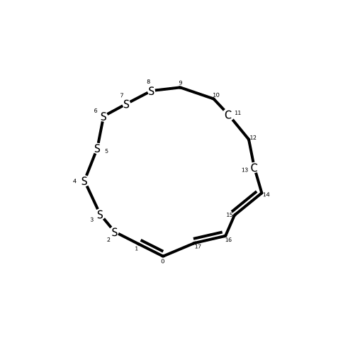 C1=C\SSSSSSSCCCCC/C=C/C=C/1